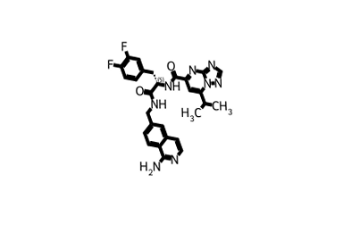 CC(C)c1cc(C(=O)N[C@@H](Cc2ccc(F)c(F)c2)C(=O)NCc2ccc3c(N)nccc3c2)nc2ncnn12